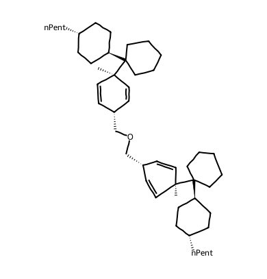 CCCCC[C@H]1CC[C@H](C2([C@]3(C)C=C[C@@H](COC[C@H]4C=C[C@](C)(C5([C@H]6CC[C@H](CCCCC)CC6)CCCCC5)C=C4)C=C3)CCCCC2)CC1